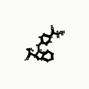 NC(=O)c1cc2ccccc2n1Cc1ccc(C(=O)NO)cc1